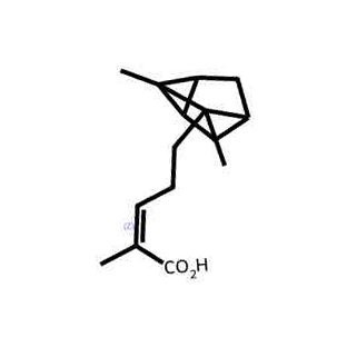 C/C(=C/CCC1(C)C2CC3C(C2)C31C)C(=O)O